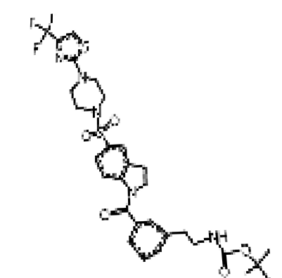 CC(C)(C)OC(=O)NCCc1cccc(C(=O)N2CCc3cc(S(=O)(=O)N4CCN(c5nc(C(F)(F)F)cs5)CC4)ccc32)c1